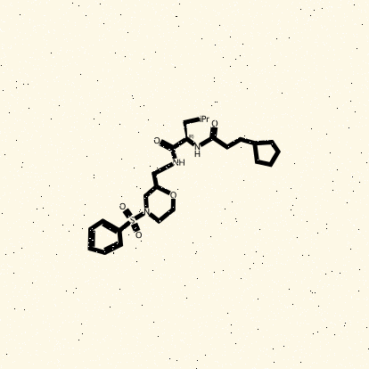 CC(C)C[C@@H](NC(=O)CCC1CCCC1)C(=O)NCC1CN(S(=O)(=O)c2ccccc2)CCO1